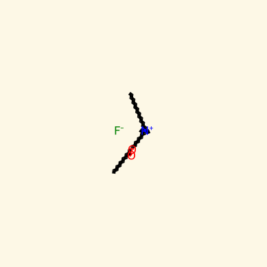 CCCCCCCCCCCCCCCC[N+](CC)(CC)CCCCCCCCOCC(=O)CCCCCCCCCC.[F-]